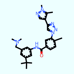 Cc1ccc(C(=O)Nc2cc(CN(C)C)cc(C(C)(C)C)c2)cc1-n1cc(-c2cnn(C)c2C)nn1